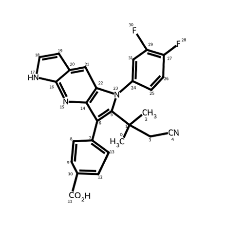 CC(C)(CC#N)c1c(-c2ccc(C(=O)O)cc2)c2nc3[nH]ccc3cc2n1-c1ccc(F)c(F)c1